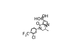 C[C@H]1CN(c2ccc(C(F)(F)F)c(Cl)c2)C(=O)c2c(B(O)O)cnn21